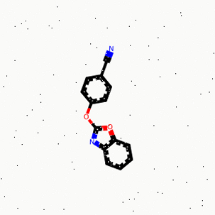 N#Cc1ccc(Oc2nc3ccccc3o2)cc1